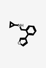 c1ccc(-c2ccoc2)c(CNC2CC2)c1